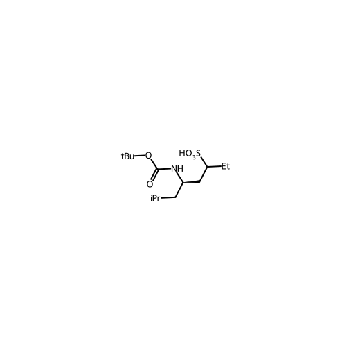 CCC(C[C@@H](CC(C)C)NC(=O)OC(C)(C)C)S(=O)(=O)O